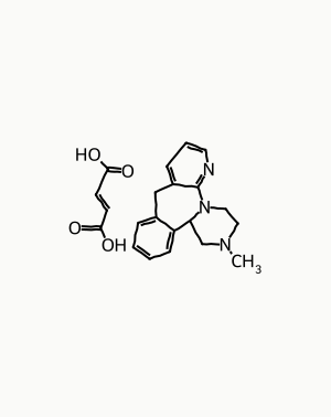 CN1CCN2c3ncccc3Cc3ccccc3C2C1.O=C(O)C=CC(=O)O